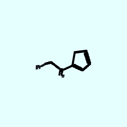 CC(C)C[SiH2]C1=CC=CC1